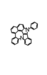 c1ccc(-n2c3ccc4cccc5c6ccccc6n6c7ccccc7c2c6c3c45)cc1